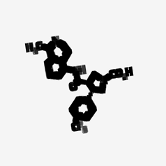 Cc1nccc2c(NC(=O)[C@H]3CN(C(=O)O)C[C@@H]3c3ccc(C(F)(F)F)cc3)cccc12